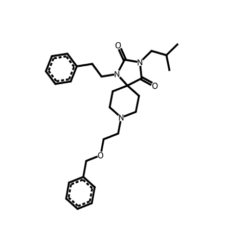 CC(C)CN1C(=O)N(CCc2ccccc2)C2(CCN(CCOCc3ccccc3)CC2)C1=O